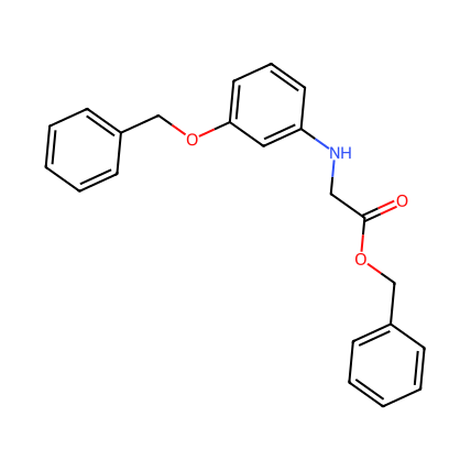 O=C(CNc1cccc(OCc2ccccc2)c1)OCc1ccccc1